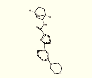 O=C(N[C@@H]1C[C@H]2CC[C@@H]1N2)c1ccc(-c2cccc(N3CCOCC3)c2)o1